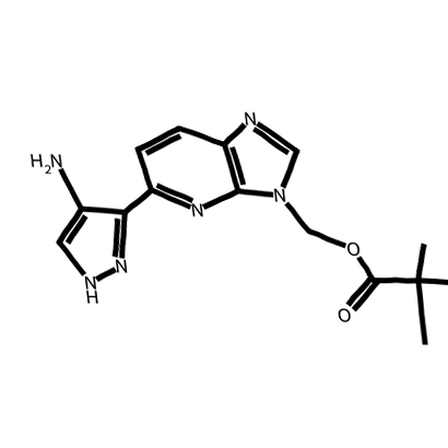 CC(C)(C)C(=O)OCn1cnc2ccc(-c3n[nH]cc3N)nc21